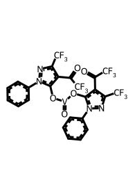 O=C(c1c(C(F)(F)F)nn(-c2ccccc2)c1[O][V](=[O])[O]c1c(C(=O)C(F)(F)F)c(C(F)(F)F)nn1-c1ccccc1)C(F)(F)F